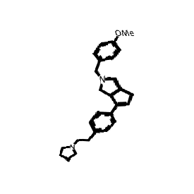 COc1ccc(CN2CC3CC=C(c4ccc(CCN5CCCC5)cc4)C3C2)cc1